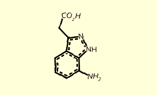 Nc1cccc2c(CC(=O)O)n[nH]c12